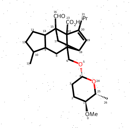 CO[C@H]1CC[C@H](OCC23CC4C(C)CCC4C4(C=O)CC2C=C(C(C)C)C43C(=O)O)O[C@@H]1C